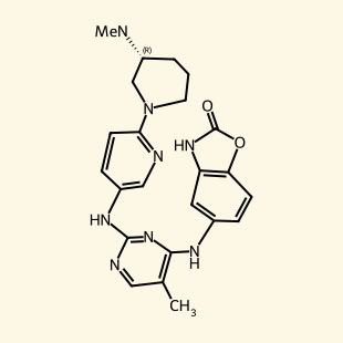 CN[C@@H]1CCCN(c2ccc(Nc3ncc(C)c(Nc4ccc5oc(=O)[nH]c5c4)n3)cn2)C1